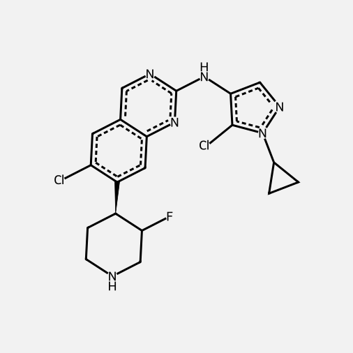 FC1CNCC[C@H]1c1cc2nc(Nc3cnn(C4CC4)c3Cl)ncc2cc1Cl